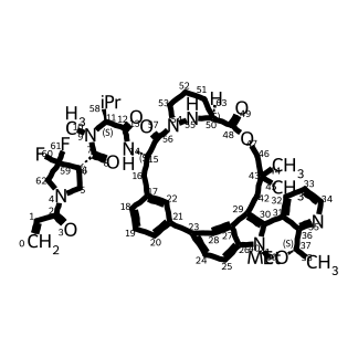 C=CC(=O)N1C[C@@H](C(=O)N(C)[C@H](C(=O)N[C@H]2Cc3cccc(c3)-c3ccc4c(c3)c(c(-c3cccnc3[C@H](C)OC)n4CC)CC(C)(C)COC(=O)[C@@H]3CCCN(N3)C2=O)C(C)C)C(F)(F)C1